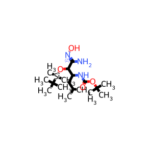 CC(C)CC(NC(=O)OC(C)(C)C)C(O[Si](C)(C)C(C)(C)C)/C(N)=N/O